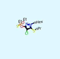 CCCCCCn1nc(OP(=S)(CC)OCC)c(Cl)c1SCCC